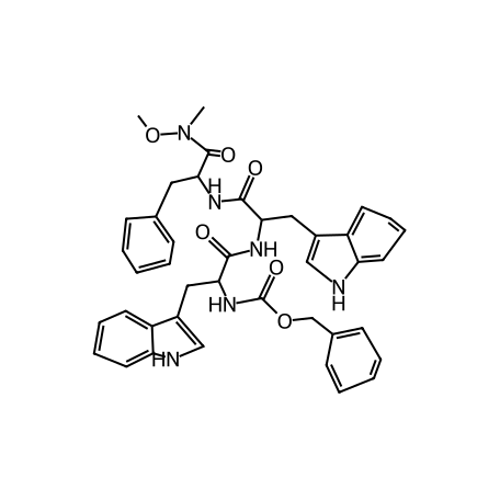 CON(C)C(=O)C(Cc1ccccc1)NC(=O)C(Cc1c[nH]c2ccccc12)NC(=O)C(Cc1c[nH]c2ccccc12)NC(=O)OCc1ccccc1